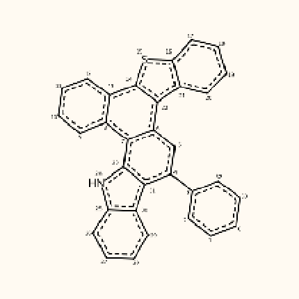 c1ccc(-c2cc3c(c4ccccc4c4sc5ccccc5c34)c3[nH]c4ccccc4c23)cc1